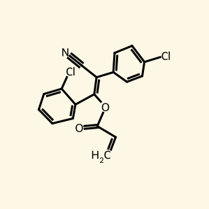 C=CC(=O)OC(=C(C#N)c1ccc(Cl)cc1)c1ccccc1Cl